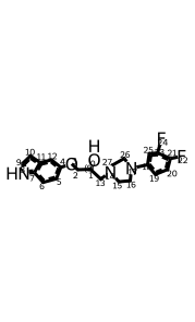 O[C@H](COc1ccc2[nH]ccc2c1)CN1CCN(c2ccc(F)c(F)c2)CC1